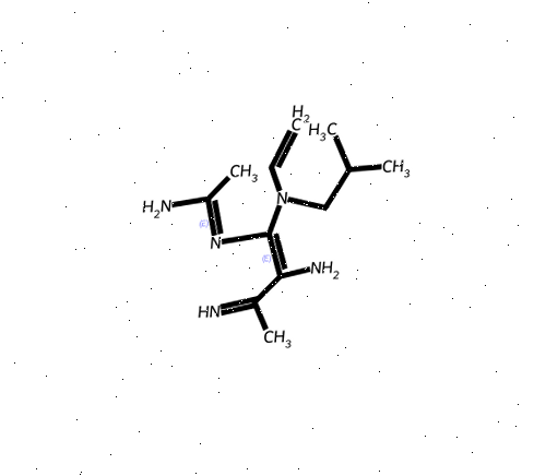 C=CN(CC(C)C)C(/N=C(\C)N)=C(\N)C(C)=N